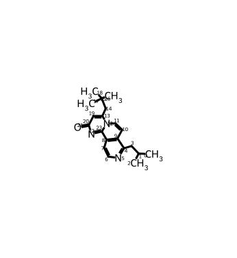 CC(C)Cc1nccc2c1ccn1c(CC(C)(C)C)cc(=O)nc21